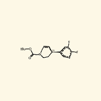 CC(C)(C)OC(=O)N1C=C[C@@H](c2ccc(F)c(F)c2)CC1